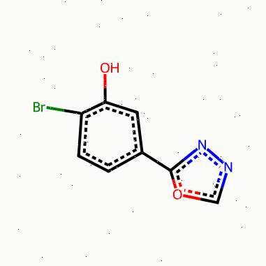 Oc1cc(-c2nnco2)ccc1Br